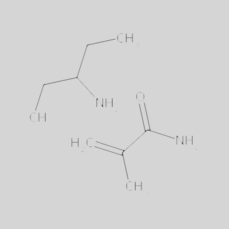 C=C(C)C(N)=O.CCC(N)CC